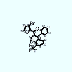 O=C(c1cnc2c(C(F)(F)F)cccc2c1-c1ccccc1)c1occc1Br